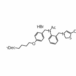 Br.CCCCCCCCCCCCCCOc1ccc(CN(C(C)=O)c2ccccc2CN2C=C(C)SC2)cc1